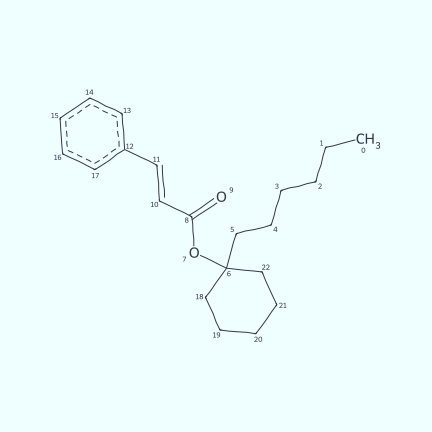 CCCCCCC1(OC(=O)/C=C/c2ccccc2)CCCCC1